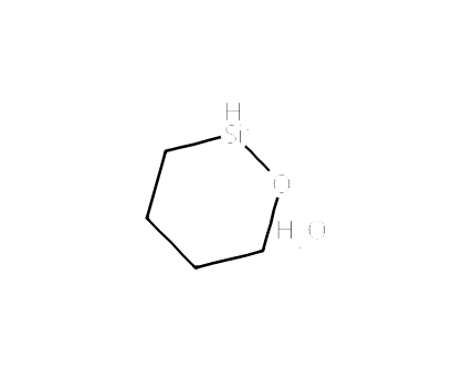 C1CC[SiH2]OC1.O